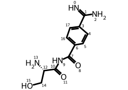 N=C(N)c1ccc(C(=O)NC(=O)[C@@H](N)CO)cc1